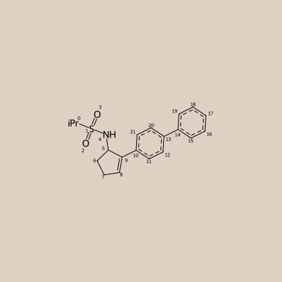 CC(C)S(=O)(=O)NC1CCC=C1c1ccc(-c2ccccc2)cc1